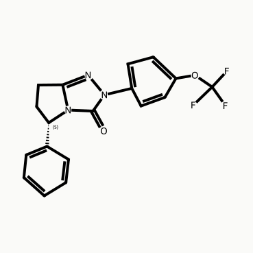 O=c1n(-c2ccc(OC(F)(F)F)cc2)nc2n1[C@H](c1ccccc1)CC2